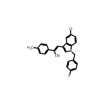 Cc1ccc(/C(C#N)=C/c2cn(Cc3ccc(F)cc3)c3ccc(Cl)cc23)cc1